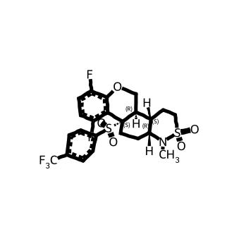 CN1[C@@H]2CC[C@@]3(S(=O)(=O)c4ccc(C(F)(F)F)cc4)c4c(F)ccc(F)c4OC[C@H]3[C@@H]2CCS1(=O)=O